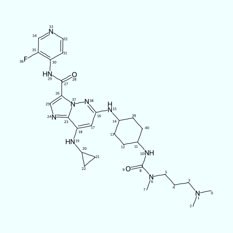 CN(C)CCCN(C)C(=O)NC1CCC(Nc2cc(NC3CC3)c3ncc(C(=O)Nc4ccncc4F)n3n2)CC1